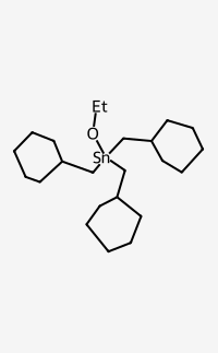 CC[O][Sn]([CH2]C1CCCCC1)([CH2]C1CCCCC1)[CH2]C1CCCCC1